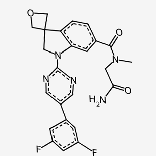 CN(CC(N)=O)C(=O)c1ccc2c(c1)N(c1ncc(-c3cc(F)cc(F)c3)cn1)CC21COC1